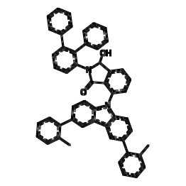 Cc1ccccc1-c1ccc2c(c1)c1cc(-c3ccccc3C)ccc1n2-c1cccc2c1C(=O)N(c1cccc(-c3ccccc3)c1-c1ccccc1)C2O